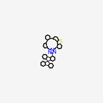 c1ccc2c(c1)-c1ccccc1C21c2ccccc2-c2c(-c3nc4nc(n3)c3cccc5sc6ccc(cc6c53)c3ccccc3c3cccc4c3)cccc21